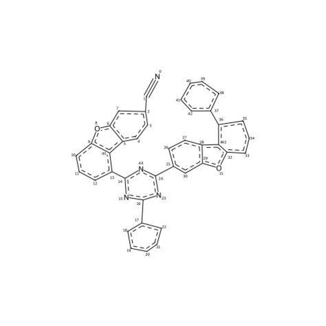 N#Cc1ccc2c(c1)oc1cccc(-c3nc(-c4ccccc4)nc(-c4ccc5c(c4)oc4cccc(-c6ccccc6)c45)n3)c12